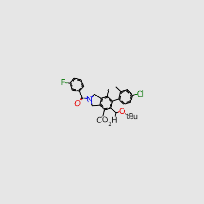 Cc1cc(Cl)ccc1-c1c(C)c2c(c(C)c1C(OC(C)(C)C)C(=O)O)CN(C(=O)c1cccc(F)c1)C2